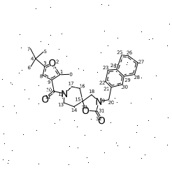 Cc1oc(C(C)(C)C)cc1C(=O)N1CCC2(CC1)CN(Cc1ccc3ccccc3c1)C(=O)O2